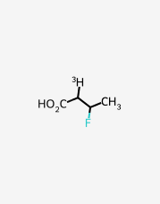 [3H]C(C(=O)O)C(C)F